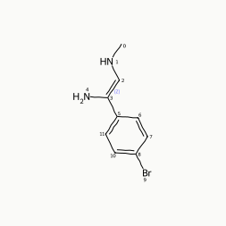 CN/C=C(\N)c1ccc(Br)cc1